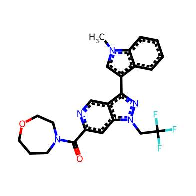 Cn1cc(-c2nn(CC(F)(F)F)c3cc(C(=O)N4CCCOCC4)ncc23)c2ccccc21